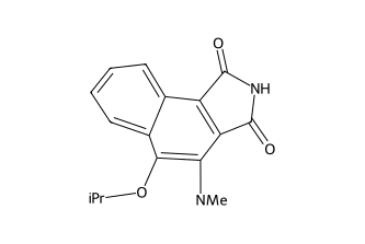 CNc1c2c(c3ccccc3c1OC(C)C)C(=O)NC2=O